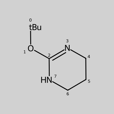 CC(C)(C)OC1=NCCCN1